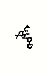 CC(=O)N1CCC(NCC2CC2)=C(C(=N)NC2=CC(c3ccccn3)CC=C2)C1